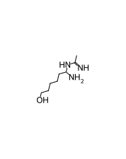 CC(=N)NC(N)CCCCCO